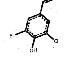 O=Cc1cc(Cl)c(O)c(Br)c1